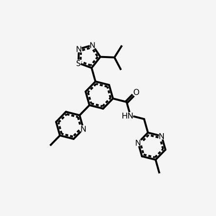 Cc1ccc(-c2cc(C(=O)NCc3ncc(C)cn3)cc(-c3snnc3C(C)C)c2)nc1